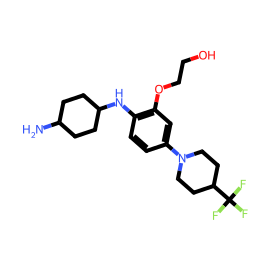 NC1CCC(Nc2ccc(N3CCC(C(F)(F)F)CC3)cc2OCCO)CC1